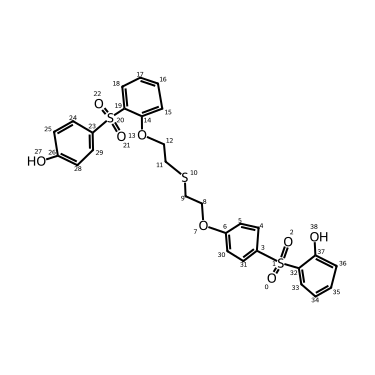 O=S(=O)(c1ccc(OCCSCCOc2ccccc2S(=O)(=O)c2ccc(O)cc2)cc1)c1ccccc1O